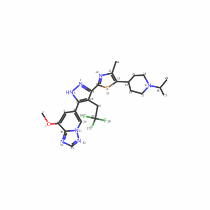 COc1cc(-c2[nH]nc(-c3nc(C)c(C4CCN(C(C)C)CC4)s3)c2CC(F)(F)F)cn2ncnc12